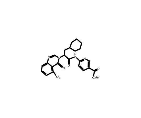 COC(=O)c1ccc(NC(=O)C(CC2CCCCC2)n2cnc3cccc(C(F)(F)F)c3c2=O)nc1